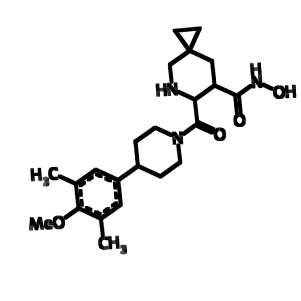 COc1c(C)cc(C2CCN(C(=O)C3NCC4(CC4)CC3C(=O)NO)CC2)cc1C